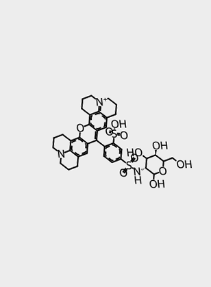 O=S(=O)(O)c1cc(S(=O)(=O)N[C@H]2C(O)OC(CO)[C@H](O)C2O)ccc1C1=c2cc3c4c(c2Oc2c1cc1c5c2CCCN5CCC1)CCC[N+]=4CCC3